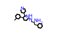 Cc1cccc(-c2ccc(NC[C@@H](N)Cc3ccccc3)nc2-c2ccncc2)c1